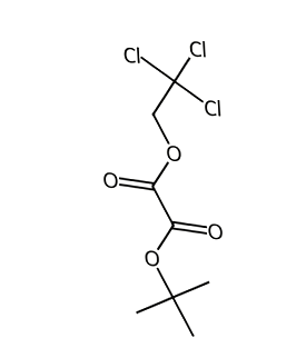 CC(C)(C)OC(=O)C(=O)OCC(Cl)(Cl)Cl